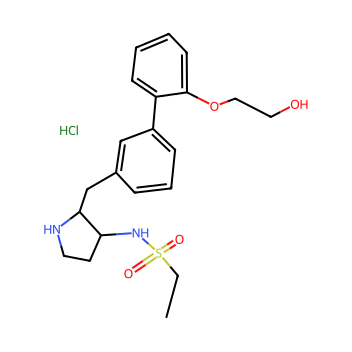 CCS(=O)(=O)NC1CCNC1Cc1cccc(-c2ccccc2OCCO)c1.Cl